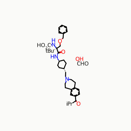 CC(C)C(=O)c1ccc2c(c1)CCN(CC[C@H]1CC[C@H](NC(=O)[C@](COCc3ccccc3)(NC(=O)O)C(C)(C)C)CC1)CC2.O=CO